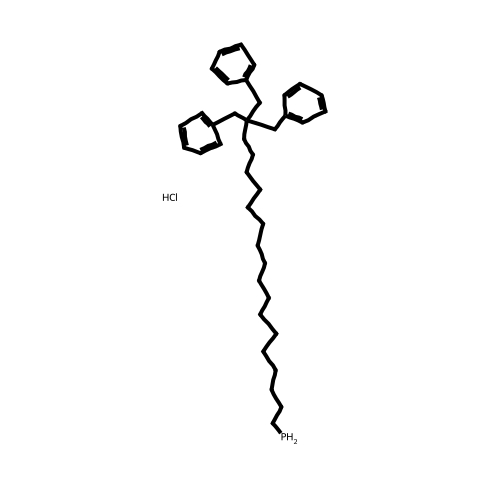 Cl.PCCCCCCCCCCCCCCCCCC(Cc1ccccc1)(Cc1ccccc1)Cc1ccccc1